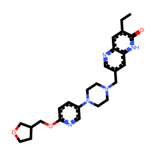 CCc1cc2ncc(CN3CCN(c4ccc(OCC5CCOC5)nc4)CC3)cc2[nH]c1=O